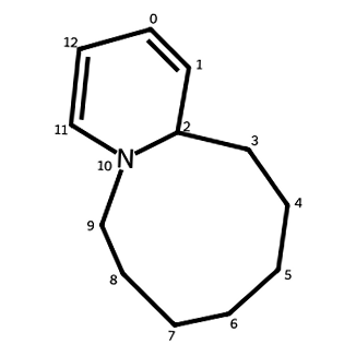 C1=CC2CCCCCCCN2C=C1